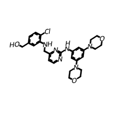 OCc1ccc(Cl)c(NCc2ccnc(Nc3cc(N4CCOCC4)cc(N4CCOCC4)c3)n2)c1